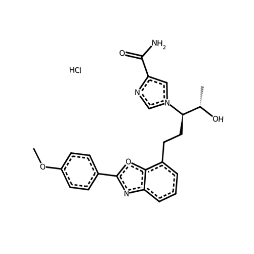 COc1ccc(-c2nc3cccc(CC[C@H]([C@H](C)O)n4cnc(C(N)=O)c4)c3o2)cc1.Cl